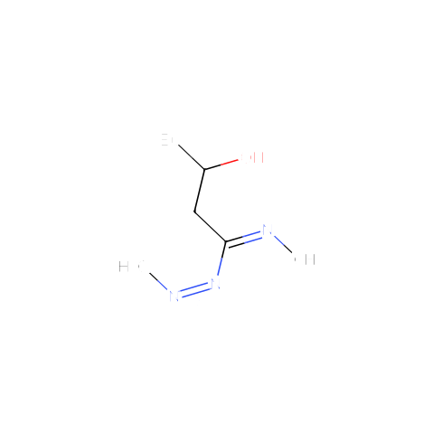 CCC(O)CC(/N=N\C)=N/C